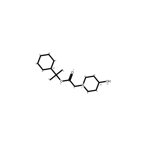 CC(C)(OC(=O)CN1CCC(O)CC1)C1CCCCC1